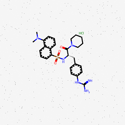 CN(C)c1cccc2c(S(=O)(=O)N[C@@H](Cc3ccc(NC(=N)N)cc3)C(=O)N3CCCCC3)cccc12.Cl